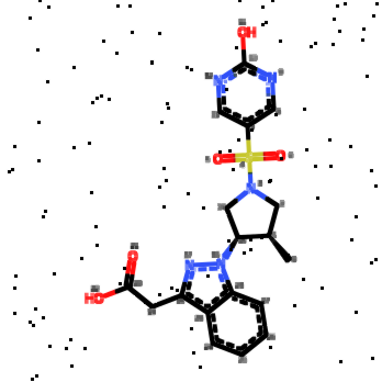 C[C@@H]1CN(S(=O)(=O)c2cnc(O)nc2)C[C@@H]1n1nc(CC(=O)O)c2ccccc21